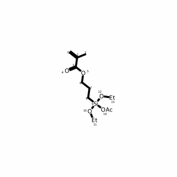 C=C(C)C(=O)OCCC[Si](OCC)(OCC)OC(C)=O